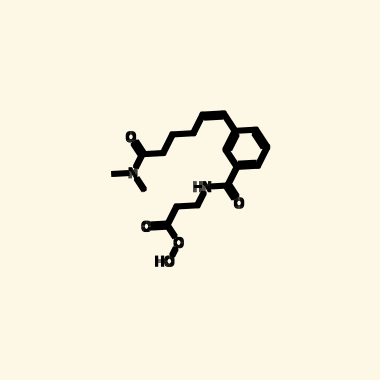 CN(C)C(=O)CCC/C=C\c1cccc(C(=O)NCCC(=O)OO)c1